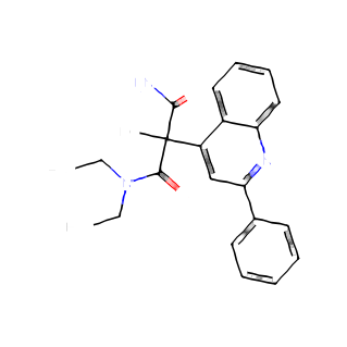 CCN(CC)C(=O)C(C)(C(N)=O)c1cc(-c2ccccc2)nc2ccccc12